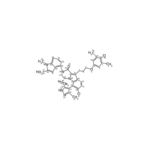 Cc1cc(OCCCc2c3n(c4c(-c5c(C)n[nH]c5C)c(Cl)ccc24)[C@H](C)CN(c2cccc4c2cc(C(=O)O)n4C)C3=O)cc(C)c1Cl